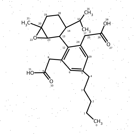 CCCCCc1cc(CC(=O)O)c(C2C(C(C)C)CCC3(C)OC23)c(CC(=O)O)c1